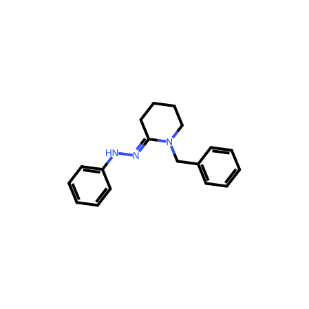 c1ccc(CN2CCCC/C2=N\Nc2ccccc2)cc1